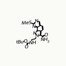 CSc1ncc2ccc3c(C(N)=O)n(CCNC(=O)OC(C)(C)C)nc3c2n1